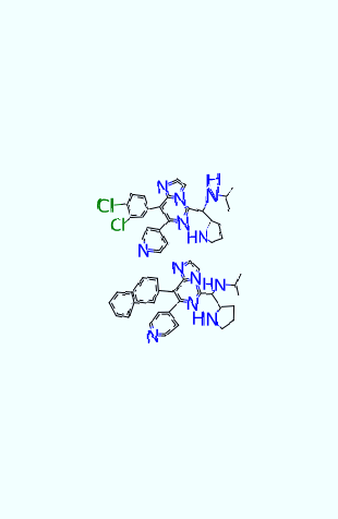 CC(C)NC(c1nc(-c2ccncc2)c(-c2ccc(Cl)c(Cl)c2)c2nccn12)C1CCCN1.CC(C)NC(c1nc(-c2ccncc2)c(-c2ccc3ccccc3c2)c2nccn12)C1CCCN1